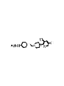 CC(=O)N[C@H]1CC[C@H](CCN2CCN(c3ncc(Cl)cc3Cl)CC2)CC1